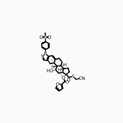 C[C@]12Cc3cnn(-c4ccc(S(C)(=O)=O)cc4)c3C=C1CC[C@@H]1[C@@H]2[C@@H](O)C[C@@]2(C)[C@H]1CC[C@]2(OC(=O)c1ccco1)C(=O)SCC#N